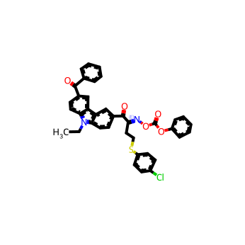 CCn1c2ccc(C(=O)/C(CCSc3ccc(Cl)cc3)=N/OC(=O)Oc3ccccc3)cc2c2cc(C(=O)c3ccccc3)ccc21